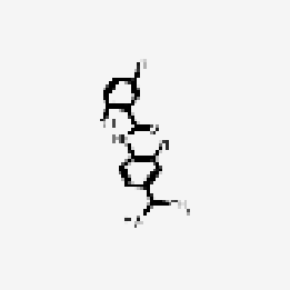 CC(C)c1ccc(NC(=O)c2cc(Cl)ccc2O)c(Cl)c1